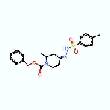 Cc1ccc(S(=O)(=O)N/N=C2/CCN(C(=O)OCc3ccccc3)[C@@H](C)C2)cc1